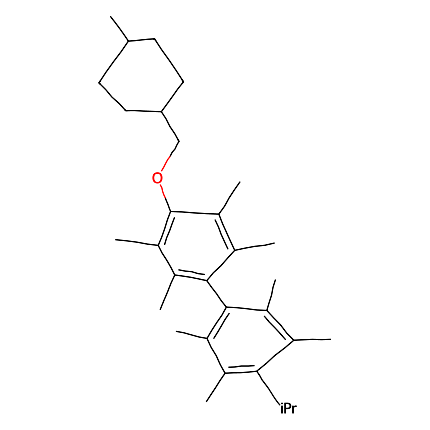 Cc1c(C)c(-c2c(C)c(C)c(C(C)C)c(C)c2C)c(C)c(C)c1OCC1CCC(C)CC1